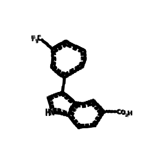 O=C(O)c1ccc2[nH]cc(-c3cccc(C(F)(F)F)c3)c2c1